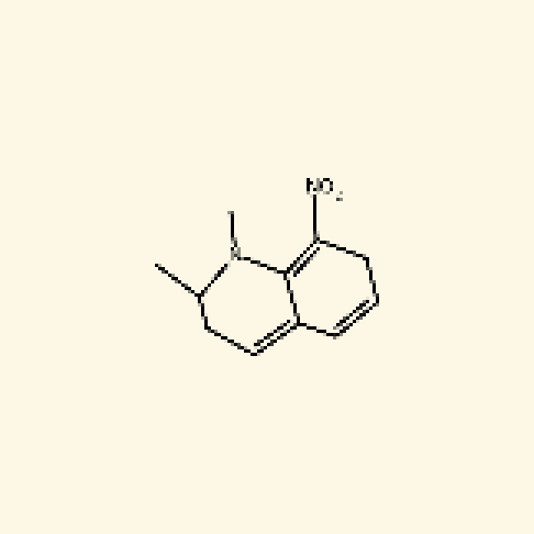 CC1CC=C2C=CCC([N+](=O)[O-])=C2N1C